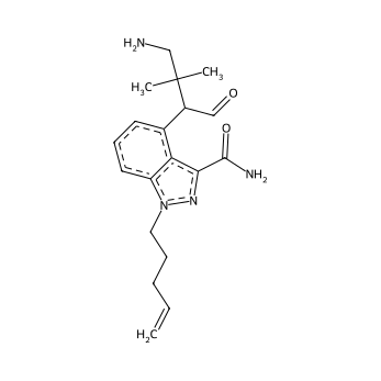 C=CCCCn1nc(C(N)=O)c2c(C(C=O)C(C)(C)CN)cccc21